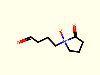 O=CCCC[N+]1([O-])CCCC1=O